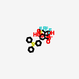 O=C([O-])C1C=CCCC1(C(=O)O)C(C(F)(F)F)C(F)(F)S(=O)(=O)O.c1ccc([S+](c2ccccc2)c2ccccc2)cc1